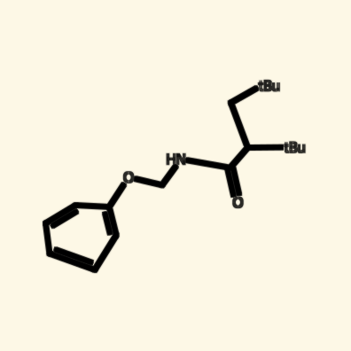 CC(C)(C)CC(C(=O)NCOc1ccccc1)C(C)(C)C